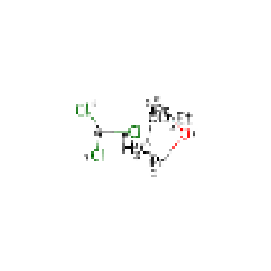 CC(C)OC(C)C.CCOC(C)=O.ClC(Cl)Cl